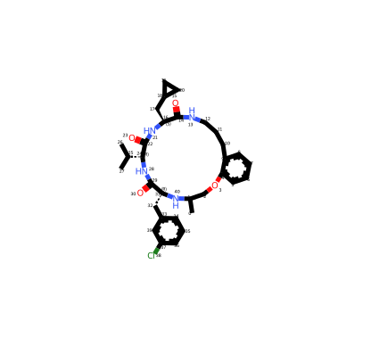 CC1COc2ccccc2CCCNC(=O)[C@H](CC2CC2)NC(=O)[C@@H](C(C)C)NC(=O)[C@@H](Cc2cccc(Cl)c2)N1